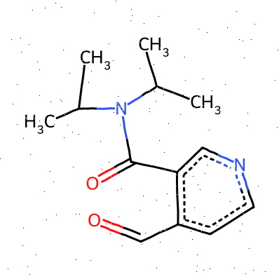 CC(C)N(C(=O)c1cnccc1C=O)C(C)C